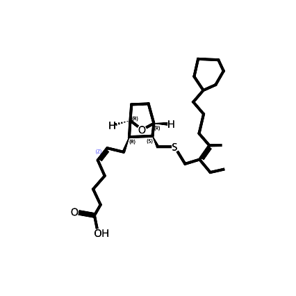 CCC(CSC[C@H]1[C@@H](C/C=C\CCCC(=O)O)[C@H]2CC[C@H]1O2)=C(C)CCCC1CCCCC1